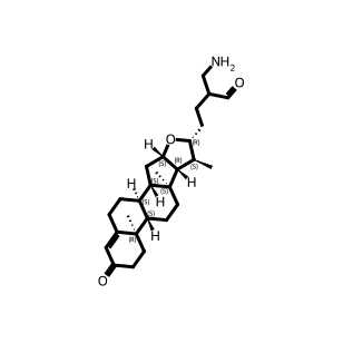 C[C@H]1[C@H]2[C@H](C[C@H]3[C@@H]4CCC5=CC(=O)CC[C@]5(C)[C@H]4CC[C@]23C)O[C@@H]1CCC(C=O)CN